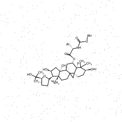 CC(=O)O[C@H]1CC[C@]23CC24CC[C@]2(C)[C@@H]([C@@]5(C)CC[C@@H](C(C)(C)O)O5)[C@@H](O)C[C@@]2(C)C4C[C@H](OC(=O)[C@@H](NC(=O)OC(C)(C)C)C(C)C)[C@H]3C1(C)C